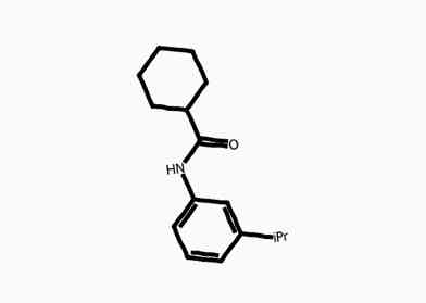 CC(C)c1cccc(NC(=O)C2CCCCC2)c1